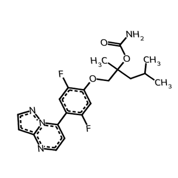 CC(C)CC(C)(COc1cc(F)c(-c2ccnc3ccnn23)cc1F)OC(N)=O